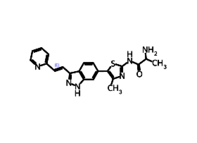 Cc1nc(NC(=O)C(C)N)sc1-c1ccc2c(/C=C/c3ccccn3)n[nH]c2c1